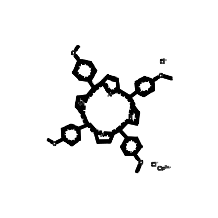 COc1ccc(-c2c3nc(c(-c4ccc(OC)cc4)c4ccc([nH]4)c(-c4ccc(OC)cc4)c4nc(c(-c5ccc(OC)cc5)c5ccc2[nH]5)C=C4)C=C3)cc1.[Cl-].[Cl-].[Co+2]